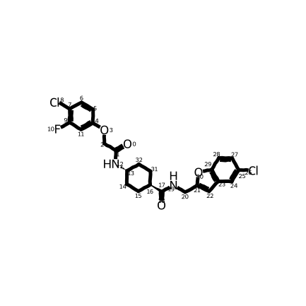 O=C(COc1ccc(Cl)c(F)c1)N[C@H]1CC[C@H](C(=O)NCc2cc3cc(Cl)ccc3o2)CC1